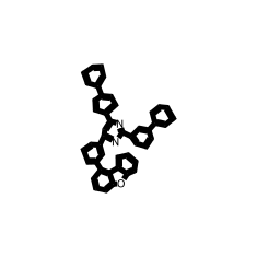 c1ccc(-c2ccc(-c3cc(-c4cccc(-c5cccc6oc7ccccc7c56)c4)nc(-c4cccc(-c5ccccc5)c4)n3)cc2)cc1